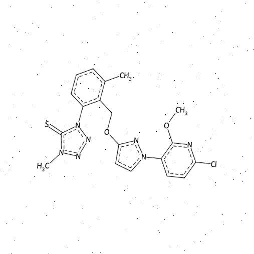 COc1nc(Cl)ccc1-n1ccc(OCc2c(C)cccc2-n2nnn(C)c2=S)n1